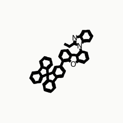 CCc1nc2ccccc2n1-c1cccc2oc3c(-c4ccc5c(c4)C4(c6ccccc6-c6ccccc64)c4ccccc4-5)cccc3c12